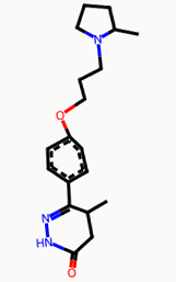 CC1CC(=O)NN=C1c1ccc(OCCCN2CCCC2C)cc1